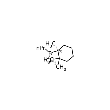 CCCB(C)[C@@]1(C)CCCCC1(C)C